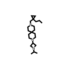 CCCC1(CN2CCC3(CC2)CCN(C2CN(C(C)C)C2)CC3)CC1